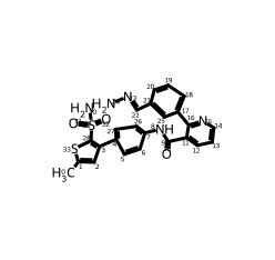 Cc1cc(-c2ccc(NC(=O)c3cccnc3-c3cccc(C=NN)c3)cc2)c(S(N)(=O)=O)s1